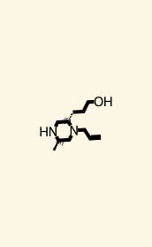 C=CCN1C[C@@H](C)NC[C@@H]1CCCO